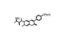 C=C1CC2=CC(C)C(C(C)C(=C)C(C)=N)C=C2C=C1c1ccc(CCCCC)cc1